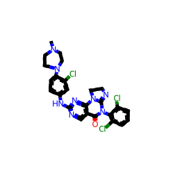 CN1CCN(c2ccc(Nc3ncc4c(n3)N3CCN=C3N(c3c(Cl)cccc3Cl)C4=O)cc2Cl)CC1